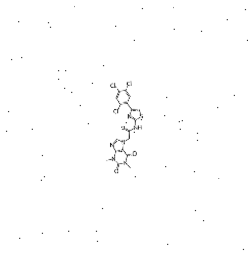 Cn1c(=O)c2c(ncn2CC(=O)Nc2nc(-c3cc(Cl)c(Cl)cc3Cl)cs2)n(C)c1=O